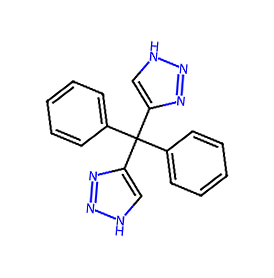 c1ccc(C(c2ccccc2)(c2c[nH]nn2)c2c[nH]nn2)cc1